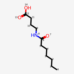 CCCCCCC(=O)NCCCC(=O)O